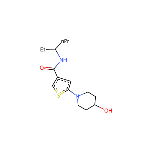 CCCC(CC)NC(=O)c1csc(N2CCC(O)CC2)c1